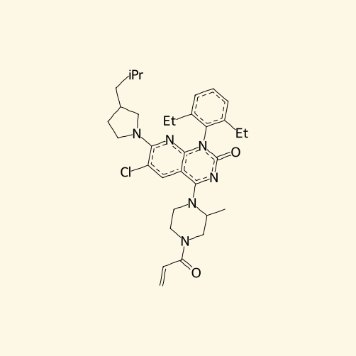 C=CC(=O)N1CCN(c2nc(=O)n(-c3c(CC)cccc3CC)c3nc(N4CCC(CC(C)C)C4)c(Cl)cc23)C(C)C1